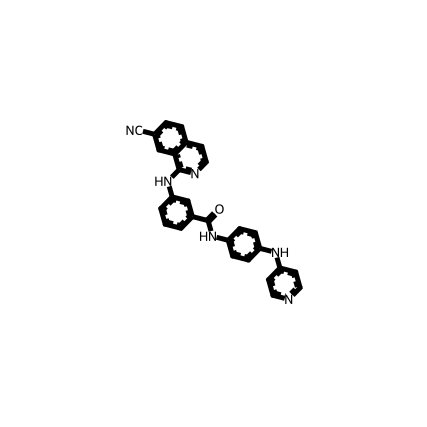 N#Cc1ccc2ccnc(Nc3cccc(C(=O)Nc4ccc(Nc5ccncc5)cc4)c3)c2c1